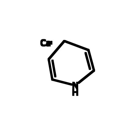 C1=CNC=CC1.[Ca]